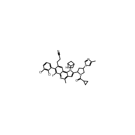 Cc1cn(C2CC(c3cc4c(C)nc5c(F)c(-c6cccc(Cl)c6Cl)c(CCC#N)cc5c4n3C3C4CNC3C4)N(C(=O)C3CC3)C2)cn1